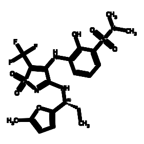 CC[C@@H](NC1=NS(=O)(=O)C(C(F)(F)F)=C1Nc1cccc(S(=O)(=O)N(C)C)c1O)c1ccc(C)o1